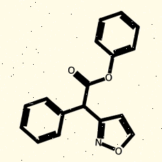 O=C(Oc1ccccc1)C(c1ccccc1)c1ccon1